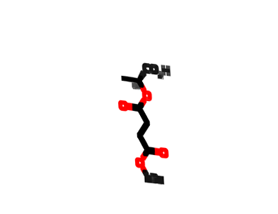 CCCCOC(=O)CCC(=O)O[C@@H](C)C(=O)O